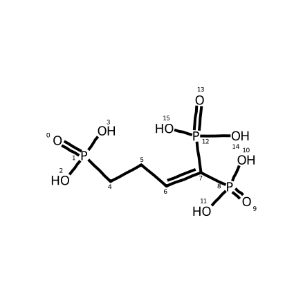 O=P(O)(O)CCC=C(P(=O)(O)O)P(=O)(O)O